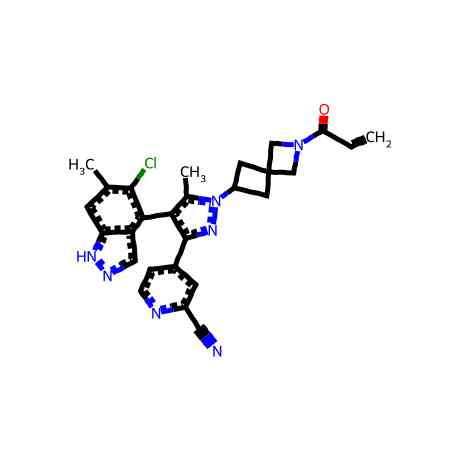 C=CC(=O)N1CC2(CC(n3nc(-c4ccnc(C#N)c4)c(-c4c(Cl)c(C)cc5[nH]ncc45)c3C)C2)C1